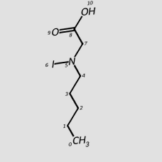 CCCCCN(I)CC(=O)O